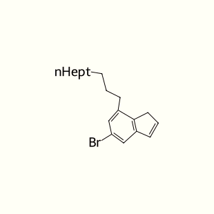 CCCCCCCCCCc1cc(Br)cc2c1CC=C2